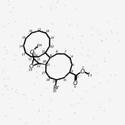 O=C(OI)C1CCCCC(C2CCCCCCCCCC2)[C@H](C2OC2OI)CCC(Br)C1